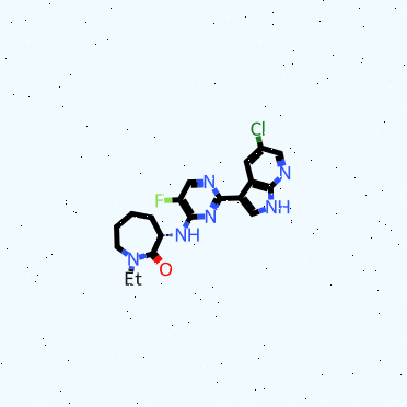 CCN1CCCC[C@H](Nc2nc(-c3c[nH]c4ncc(Cl)cc34)ncc2F)C1=O